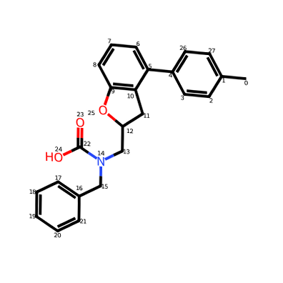 Cc1ccc(-c2cccc3c2CC(CN(Cc2ccccc2)C(=O)O)O3)cc1